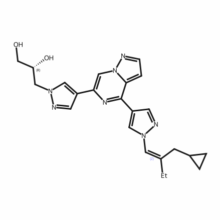 CC/C(=C/n1cc(-c2nc(-c3cnn(C[C@@H](O)CO)c3)cn3nccc23)cn1)CC1CC1